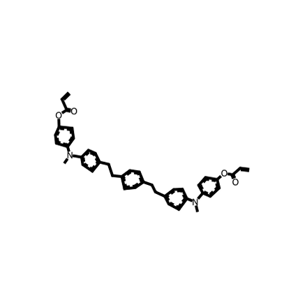 C=CC(=O)Oc1ccc(N(C)c2ccc(CCc3ccc(CCc4ccc(N(C)c5ccc(OC(=O)C=C)cc5)cc4)cc3)cc2)cc1